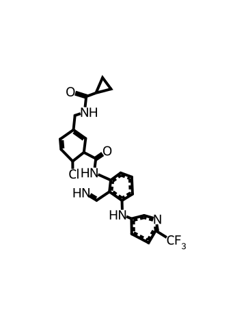 N=Cc1c(NC(=O)C2C=C(CNC(=O)C3CC3)C=CC2Cl)cccc1Nc1ccc(C(F)(F)F)nc1